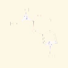 CN(C)C(=O)Oc1ccc[n+](C)c1.[Br-]